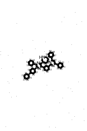 C1=CCNCC(c2nc(-c3ccccc3)c(-c3ccc(-c4ccccc4)cc3)nc2-c2cccc(-c3nc(-c4ccccc4)cc(-c4ccccc4)n3)c2)=C1